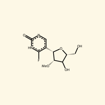 CO[C@H]1C(O)[C@@H](CO)O[C@H]1c1cnc(=O)[nH]c1F